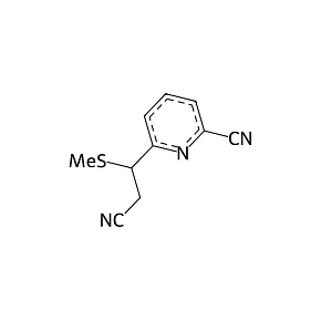 CSC(CC#N)c1cccc(C#N)n1